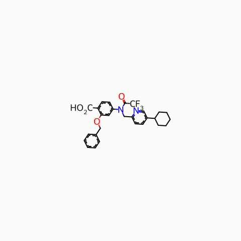 O=C(O)c1ccc(N(Cc2ccc(C3CCCCC3)cn2)C(=O)C(F)(F)F)cc1OCc1ccccc1